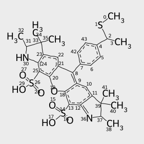 CSC(C)c1ccc(C2=c3cc4c(c(S(=O)(=O)O)c3Oc3c2cc2c(c3S(=O)(=O)O)NC(C)C2(C)C)=NC(C)C4(C)C)cc1